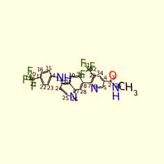 CNC(=O)c1cnc(-c2ccc3c(Nc4ccc(C(F)(F)F)cc4)ccnc3c2)c(C(F)(F)F)c1